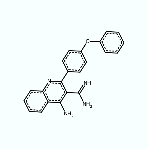 N=C(N)c1c(-c2ccc(Oc3ccccc3)cc2)nc2ccccc2c1N